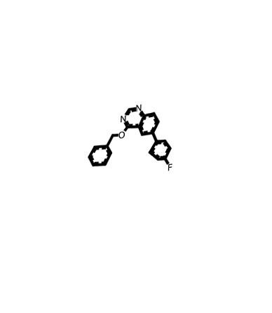 Fc1ccc(-c2ccc3ncnc(OCc4ccccc4)c3c2)cc1